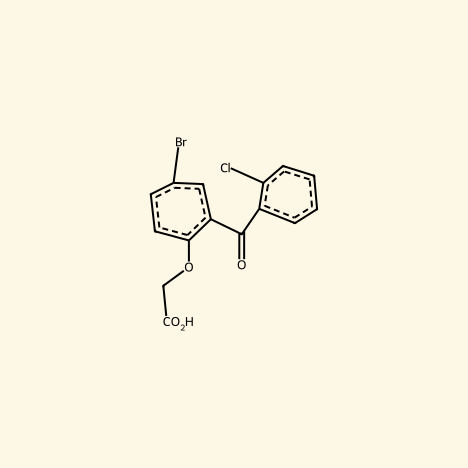 O=C(O)COc1ccc(Br)cc1C(=O)c1ccccc1Cl